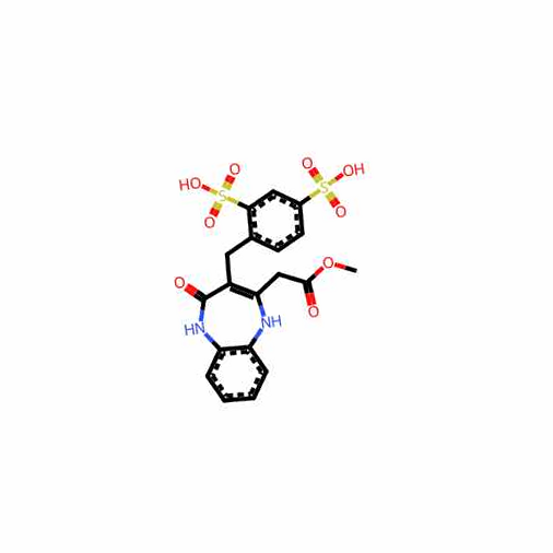 COC(=O)CC1=C(Cc2ccc(S(=O)(=O)O)cc2S(=O)(=O)O)C(=O)Nc2ccccc2N1